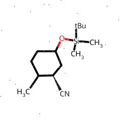 CC1CCC(O[Si](C)(C)C(C)(C)C)C[C@H]1C#N